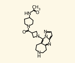 CC(=O)NC1CCN(C(=O)C2CN(c3c4c(nc5ccnn35)CCNCC4)C2)CC1